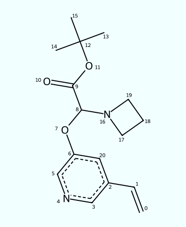 C=Cc1cncc(OC(C(=O)OC(C)(C)C)N2CCC2)c1